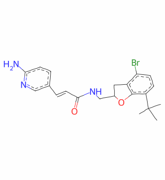 CC(C)(C)c1ccc(Br)c2c1OC(CNC(=O)C=Cc1ccc(N)nc1)C2